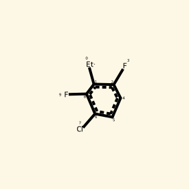 C[CH]c1c(F)ccc(Cl)c1F